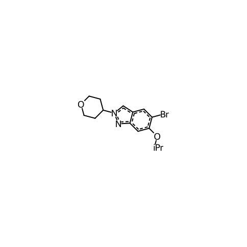 CC(C)Oc1cc2nn(C3CCOCC3)cc2cc1Br